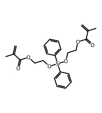 C=C(C)C(=O)OCCO[Si](OCCOC(=O)C(=C)C)(c1ccccc1)c1ccccc1